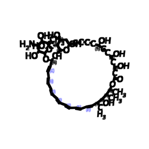 CC1OC(O[C@H]2/C=C/C=C/C=C/C=C/C=C/C=C/C=C/[C@H](C)[C@@H](O)[C@@H](C)[C@H](C)OC(=O)C[C@H](O)C[C@H](O)CC[C@@H](O)CCCC[C@]3(O)C[C@H](O)[C@@H](C(=O)O)[C@H](C2)O3)C(O)C(N)C1O